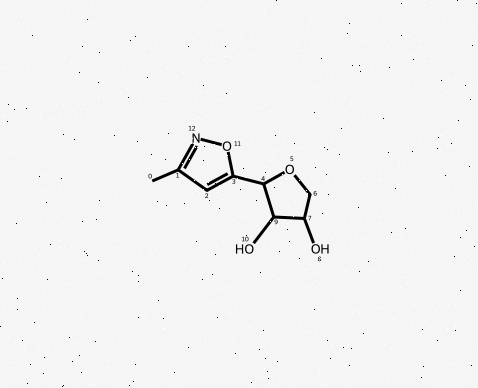 Cc1cc(C2OCC(O)C2O)on1